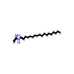 CC=C(N)NC=CCCCCCCCCCCCCCCCC